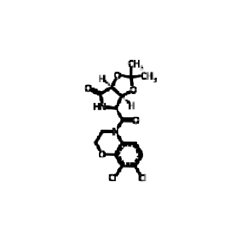 CC1(C)O[C@H]2[C@@H](C(=O)N3CCOc4c3ccc(Cl)c4Cl)NC(=O)[C@H]2O1